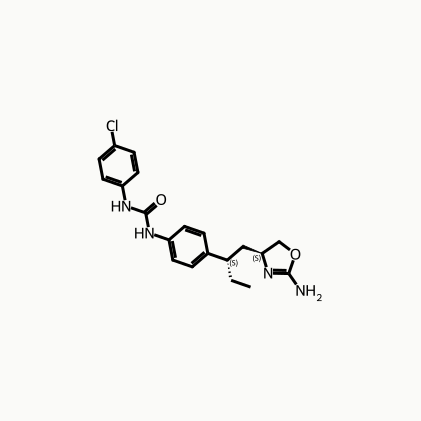 CC[C@@H](C[C@H]1COC(N)=N1)c1ccc(NC(=O)Nc2ccc(Cl)cc2)cc1